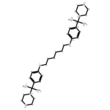 CC(C)(c1ccc(OCCCCCCOc2ccc(C(C)(C)N3CCOCC3)cc2)cc1)N1CCOCC1